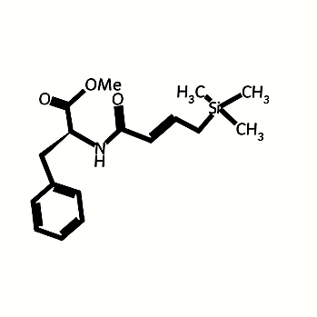 COC(=O)[C@H](Cc1ccccc1)NC(=O)/C=C/C[Si](C)(C)C